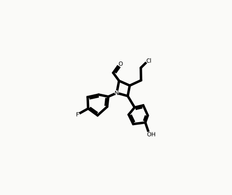 O=CC1C(CCCl)C(c2ccc(O)cc2)N1c1ccc(F)cc1